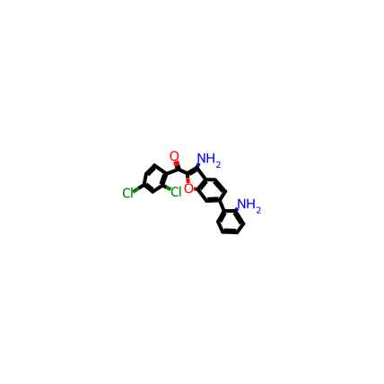 Nc1ccccc1-c1ccc2c(N)c(C(=O)c3ccc(Cl)cc3Cl)oc2c1